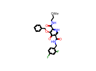 COCCNC(=O)c1[nH]cc(C(=O)NCc2ccc(F)cc2F)c(=O)c1OCc1ccccc1